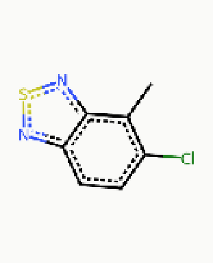 Cc1c(Cl)ccc2nsnc12